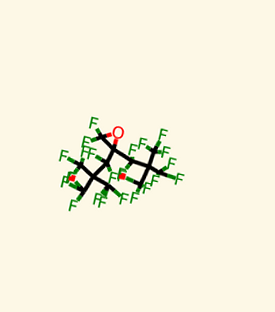 FC(F)(F)C(C(F)(F)F)(C(F)(F)F)C(F)(F)C1(C(F)(F)C(C(F)(F)F)(C(F)(F)F)C(F)(F)F)OC1(F)F